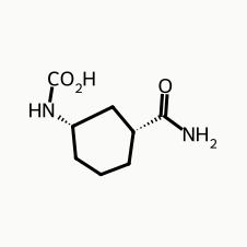 NC(=O)[C@@H]1CCC[C@H](NC(=O)O)C1